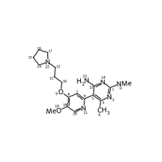 CNc1nc(C)c(-c2cc(OCCCN3CCCC3)c(OC)cn2)c(N)n1